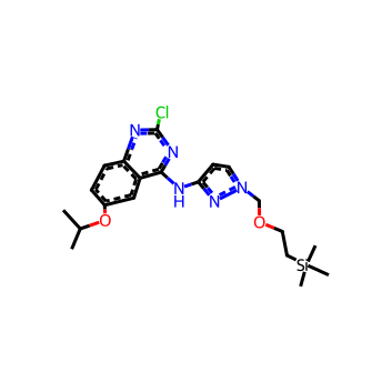 CC(C)Oc1ccc2nc(Cl)nc(Nc3ccn(COCC[Si](C)(C)C)n3)c2c1